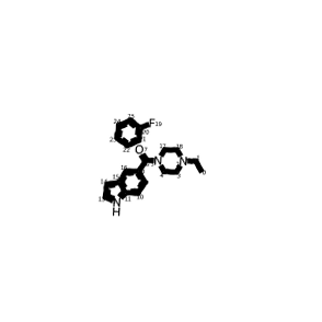 CCN1CCN(C(=O)c2ccc3[nH]ccc3c2)CC1.Fc1ccccc1